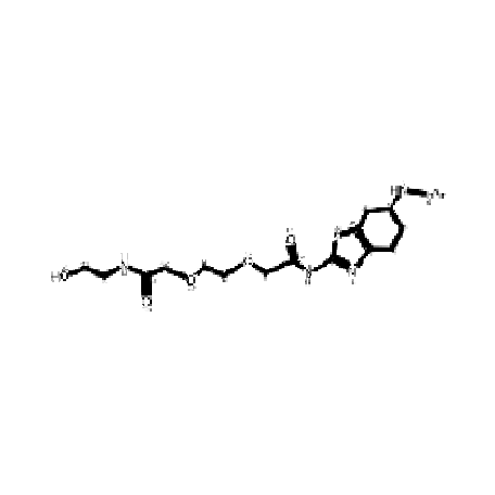 CCCN[C@H]1CCc2nc(NC(=O)COCCOCC(=O)NCCO)sc2C1